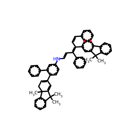 CC1(C)C2=CC(c3ccc(N/C=C/C(=C(\C=C/c4ccccc4)c4ccc5c(c4)C(C)(C)c4ccccc4-5)c4ccccc4)cc3-c3ccccc3)=CCC2(C)c2ccccc21